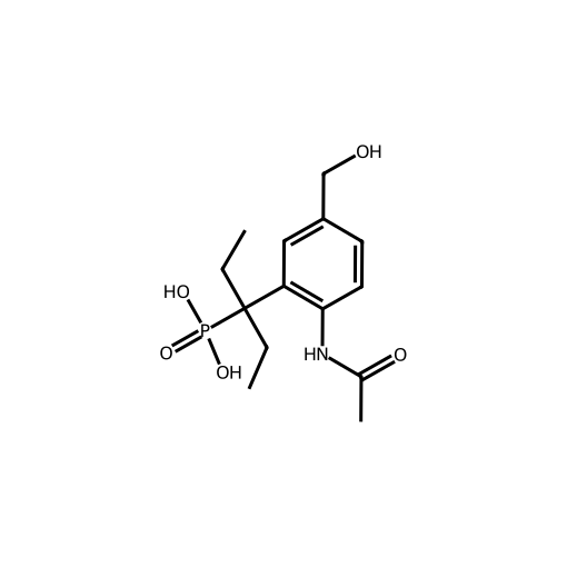 CCC(CC)(c1cc(CO)ccc1NC(C)=O)P(=O)(O)O